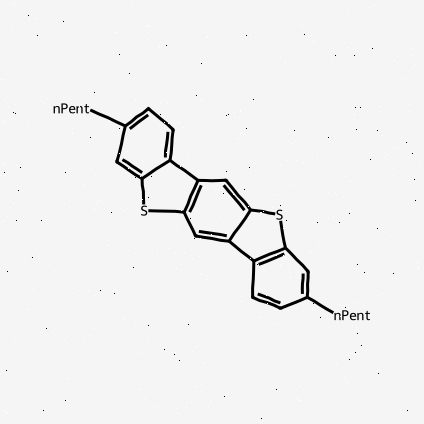 CCCCCc1ccc2c(c1)sc1cc3c(cc12)sc1cc(CCCCC)ccc13